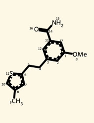 COc1cc(CCc2cc(C)cs2)cc(C(N)=O)c1